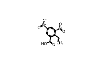 C=Cc1c(C(=O)O)cc([N+](=O)[O-])cc1[N+](=O)[O-]